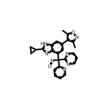 Cc1noc(C)c1-c1cc(C(N=O)(c2ccccn2)c2ncccn2)c2nc(C3CC3)[nH]c2c1